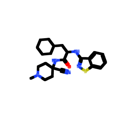 CN1CCC(C#N)(NC(=O)C(CC2CCCCC2)Nc2nsc3ccccc23)CC1